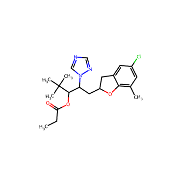 CCC(=O)OC(C(CC1Cc2cc(Cl)cc(C)c2O1)n1cncn1)C(C)(C)C